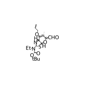 C=CCO[C@H]1[C@H](C)[C@@H](C=O)O[C@@H]2SC(N(CC)C(=O)OC(C)(C)C)=N[C@H]12